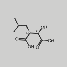 CC(C)C[C@H](C(=O)O)[C@@H](O)C(=O)O